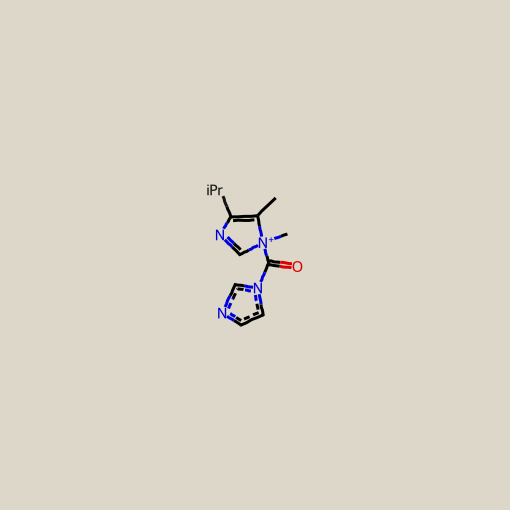 CC1=C(C(C)C)N=C[N+]1(C)C(=O)n1ccnc1